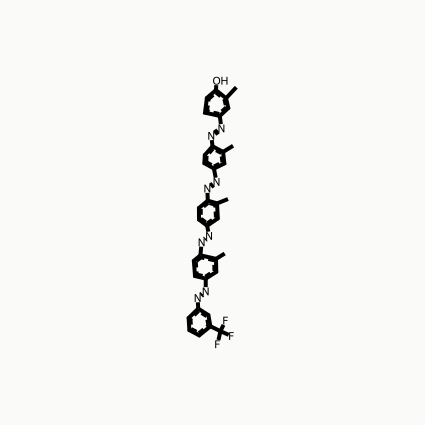 Cc1cc(N=Nc2ccc(N=Nc3ccc(N=Nc4ccc(N=Nc5cccc(C(F)(F)F)c5)cc4C)cc3C)cc2C)ccc1O